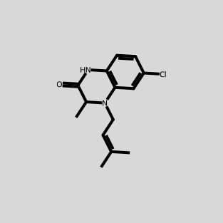 CC(C)=CCN1c2cc(Cl)ccc2NC(=O)C1C